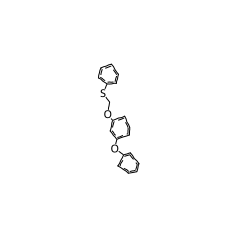 c1ccc(Oc2cccc(OCSc3ccccc3)c2)cc1